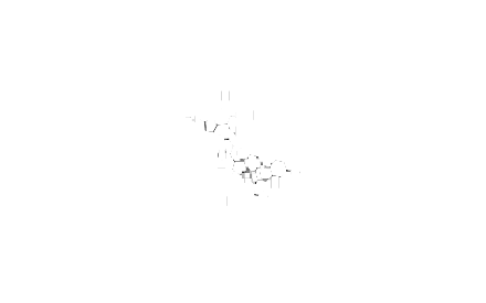 CC(=O)O[C@@H]1C[C@@H]2CC(=O)CC[C@]2(C)[C@H]2CC[C@]3(C)C([C@H](C)CC(=O)NC(c4ccc(Br)s4)C(C)C)CC[C@H]3[C@H]12